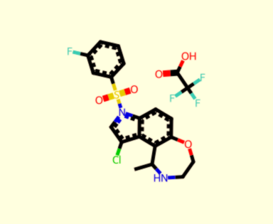 CC1NCCOc2ccc3c(c(Cl)cn3S(=O)(=O)c3cccc(F)c3)c21.O=C(O)C(F)(F)F